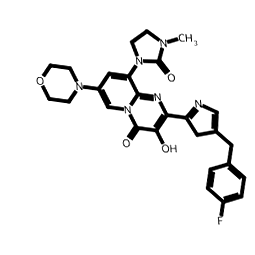 CN1CCN(c2cc(N3CCOCC3)cn3c(=O)c(O)c(C4=NC=C(Cc5ccc(F)cc5)C4)nc23)C1=O